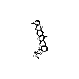 CNS(=O)(=O)Nc1cc(Cc2c(C)c3cc(Cl)c(Oc4nccn4C)cc3oc2=O)ccn1